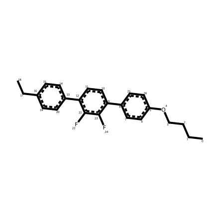 CCCCOc1ccc(-c2ccc(-c3ccc(CC)cc3)c(F)c2F)cc1